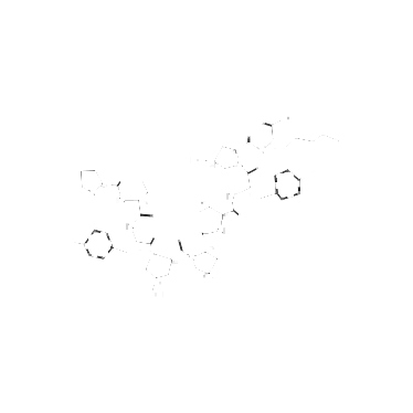 C[C@@H](O)[C@H](NC(=O)[C@@H]1C[C@@H](O)CN1C(=O)[C@@H]1C[C@@H](O)CN1C(=O)[C@H](Cc1ccc(O)cc1)NC(=O)[C@H](CO)NC(=O)[C@@H]1CCCN1)C(=O)N[C@@H](Cc1ccc(O)cc1)C(=O)N1C[C@H](O)C[C@H]1C(=O)N[C@@H](CCCCN)C(=O)O